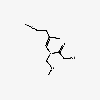 CCCCC(C)=CN(COC)C(=O)CCl